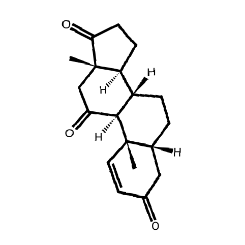 C[C@]12C=CC(=O)C[C@H]1CC[C@@H]1[C@@H]2C(=O)C[C@]2(C)C(=O)CC[C@@H]12